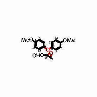 COc1ccc(Oc2ccc(OC)cc2)cc1.O=CC1CO1